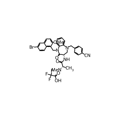 CN[C@@H](C)C(=O)N[C@H]1CN(Cc2ccc(C#N)cc2)c2ccccc2N(Cc2c(OC)ccc3cc(Br)ccc23)C1=O.O=C(O)C(F)(F)F